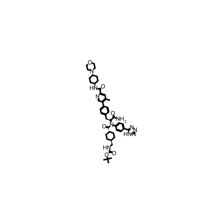 Cc1cc(C(=O)N[C@H]2CC[C@H](N3CCOCC3)CC2)ncc1-c1ccc(C[C@@H](C(N)=O)N(c2ccc(-c3nnn[nH]3)cc2)C(=O)[C@H]2CC[C@H](CNC(=O)OC(C)(C)C)CC2)cc1